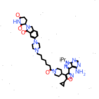 CC(C)n1nc(-c2noc(C3CC3)c2C2CCN(C(=O)CCCCCCN3CCN(c4ccc5c(c4)C(=O)N(C4CCC(=O)NC4=O)C5)CC3)CC2)c2c(N)ncnc21